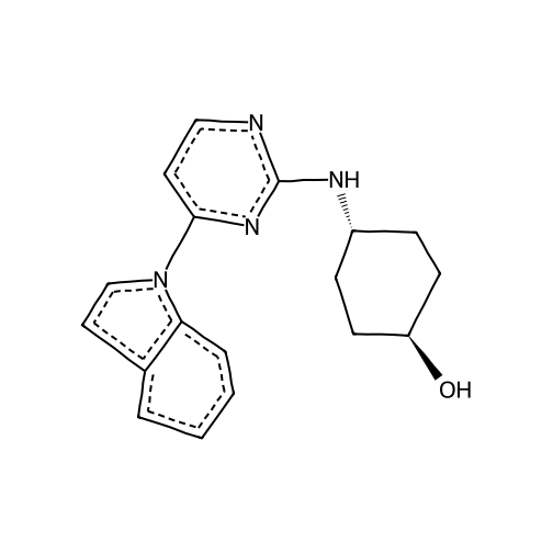 O[C@H]1CC[C@H](Nc2nccc(-n3ccc4ccccc43)n2)CC1